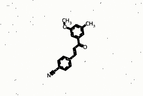 COc1cc(C)cc(C(=O)/C=C/c2ccc(C#N)cc2)c1